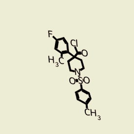 Cc1ccc(S(=O)(=O)N2CCC(C(=O)Cl)(c3ccc(F)cc3C)CC2)cc1